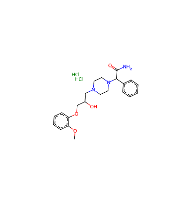 COc1ccccc1OCC(O)CN1CCN(C(C(N)=O)c2ccccc2)CC1.Cl.Cl